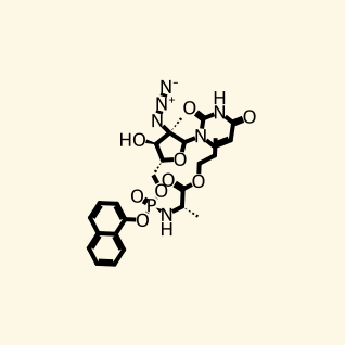 CCCOC(=O)[C@H](C)N[P@@](=O)(OC[C@H]1OC(n2ccc(=O)[nH]c2=O)[C@](C)(N=[N+]=[N-])[C@@H]1O)Oc1cccc2ccccc12